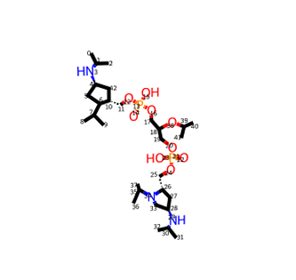 CC(C)N[C@@H]1CC(C(C)C)[C@@H](COP(=O)(O)OCC(COP(=O)(O)OC[C@@H]2C[C@@H](NC(C)C)CN2C(C)C)OC(C)C)C1